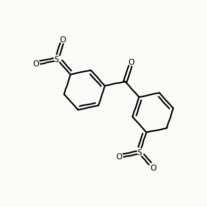 O=C(C1=CC(=S(=O)=O)CC=C1)C1=CC(=S(=O)=O)CC=C1